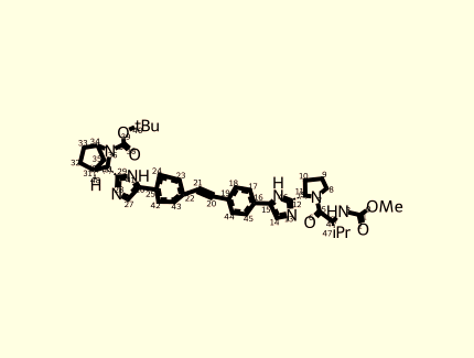 COC(=O)N[C@H](C(=O)N1CCC[C@H]1c1ncc(-c2ccc(C#Cc3ccc(-c4cnc([C@@H]5[C@H]6CCC(C6)N5C(=O)OC(C)(C)C)[nH]4)cc3)cc2)[nH]1)C(C)C